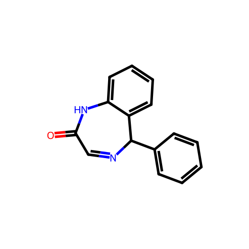 O=C1C=NC(c2ccccc2)c2ccccc2N1